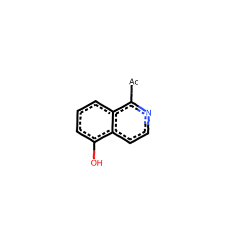 CC(=O)c1nccc2c(O)cccc12